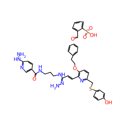 NN=C(/C=C/c1nc(CSc2ccc(O)cc2)ccc1OCCc1ccccc1)NCCCNC(=O)c1ccc(NN)nc1.O=Cc1ccccc1S(=O)(=O)O